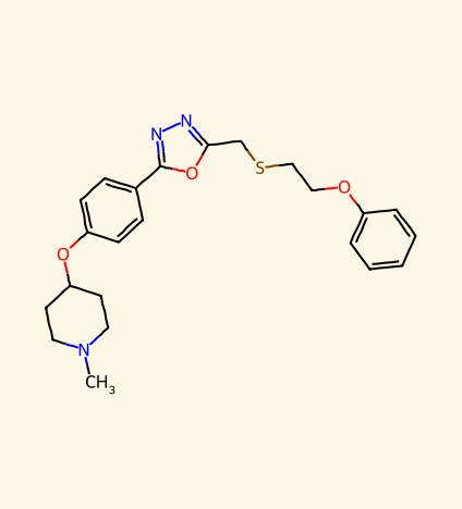 CN1CCC(Oc2ccc(-c3nnc(CSCCOc4ccccc4)o3)cc2)CC1